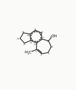 CC1=CCCC(O)c2ccc3c(c21)CCC3